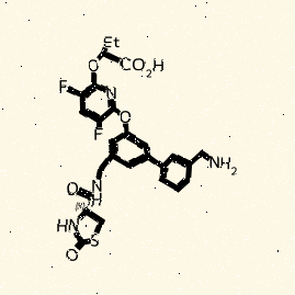 CCC(Oc1nc(Oc2cc(CNC(=O)[C@@H]3CSC(=O)N3)cc(-c3cccc(CN)c3)c2)c(F)cc1F)C(=O)O